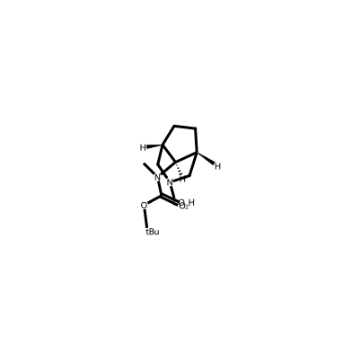 CN(C(=O)OC(C)(C)C)[C@@H]1[C@@H]2CC[C@H]1CN(C(=O)O)C2